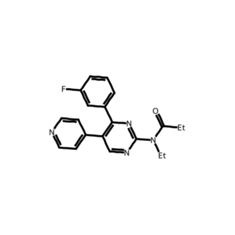 CCC(=O)N(CC)c1ncc(-c2ccncc2)c(-c2cccc(F)c2)n1